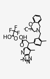 CC[C@@H]1CN(Cc2cc(C(CC(=O)O)c3cnc4c(nnn4C)c3C)ccc2C)Cc2ccccc2O1.O=C(O)C(F)(F)F